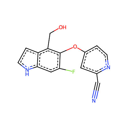 N#Cc1cc(Oc2c(F)cc3[nH]ccc3c2CO)ccn1